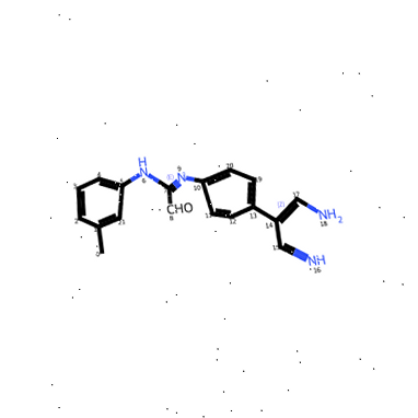 Cc1cccc(N/C(C=O)=N/c2ccc(/C(C=N)=C/N)cc2)c1